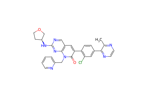 Cc1nccnc1-c1ccc(-c2cc3cnc(N[C@H]4CCOC4)nc3n(Cc3ccccn3)c2=O)c(Cl)c1